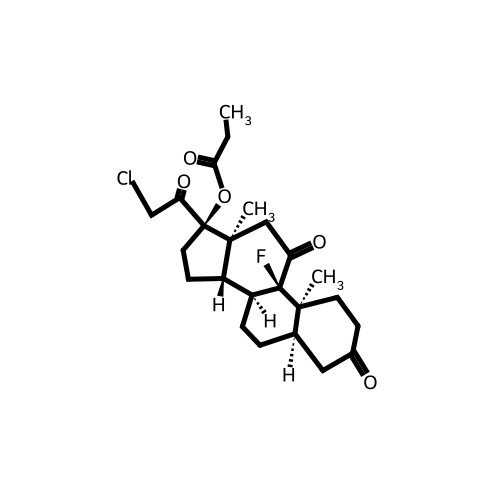 CCC(=O)O[C@]1(C(=O)CCl)CC[C@H]2[C@@H]3CC[C@@H]4CC(=O)CC[C@]4(C)[C@@]3(F)C(=O)C[C@@]21C